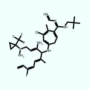 C=C/C(F)=C\C=C(/C)C(NC1=CC(Cl)=C(C)C(/C(=N\C=N)NCC(C)(C)C)=CC1)/C(N)=C/CN(N)C1(C(F)(F)F)CC1